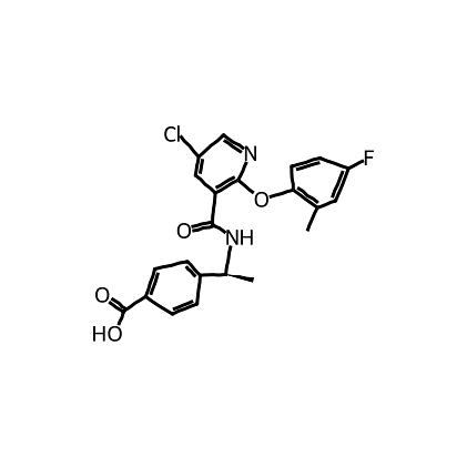 Cc1cc(F)ccc1Oc1ncc(Cl)cc1C(=O)N[C@@H](C)c1ccc(C(=O)O)cc1